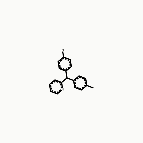 Cc1ccc(C(c2ccc(Cl)cc2)c2ccccn2)cc1